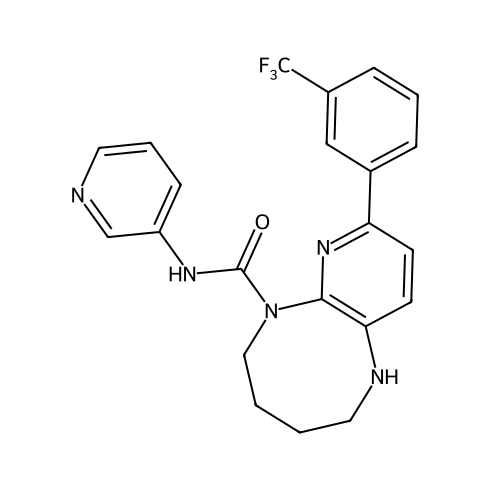 O=C(Nc1cccnc1)N1CCCCNc2ccc(-c3cccc(C(F)(F)F)c3)nc21